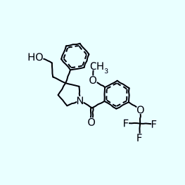 COc1ccc(OC(F)(F)F)cc1C(=O)N1CCC(CCO)(c2ccccc2)C1